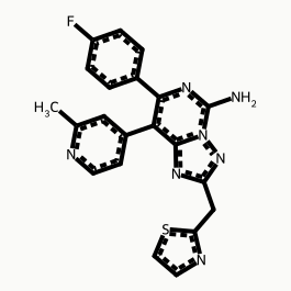 Cc1cc(-c2c(-c3ccc(F)cc3)nc(N)n3nc(Cc4nccs4)nc23)ccn1